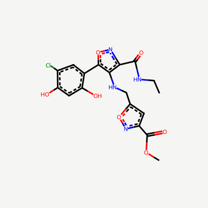 CCNC(=O)c1noc(-c2cc(Cl)c(O)cc2O)c1NCc1cc(C(=O)OC)no1